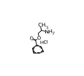 CC(N)COC(=O)c1ccccc1.Cl